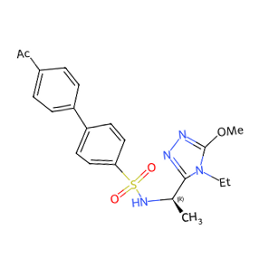 CCn1c(OC)nnc1[C@@H](C)NS(=O)(=O)c1ccc(-c2ccc(C(C)=O)cc2)cc1